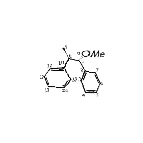 CO[C@H](c1ccccc1)[C@H](C)c1ccccc1